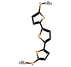 CCCCSc1ccc(-c2ccc(-c3ccc(SCCCC)s3)s2)s1